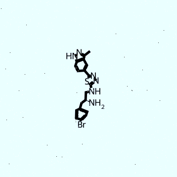 Cc1n[nH]c2ccc(-c3nnc(NC[C@H](N)Cc4ccc(Br)cc4)s3)cc12